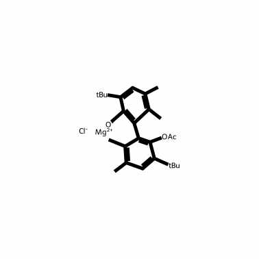 CC(=O)Oc1c(C(C)(C)C)cc(C)c(C)c1-c1c(C)c(C)cc(C(C)(C)C)c1[O-].[Cl-].[Mg+2]